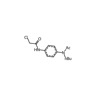 CCCCN(C(C)=O)c1ccc(NC(=O)CCl)cc1